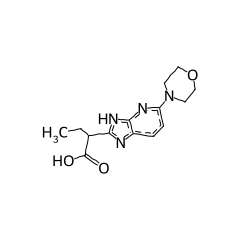 CCC(C(=O)O)c1nc2ccc(N3CCOCC3)nc2[nH]1